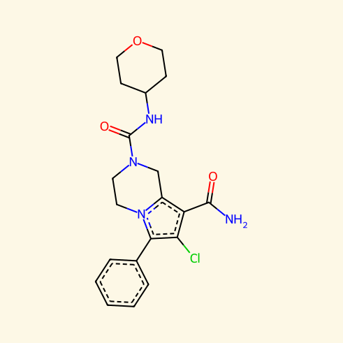 NC(=O)c1c(Cl)c(-c2ccccc2)n2c1CN(C(=O)NC1CCOCC1)CC2